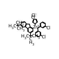 CC(C)(C)c1ccc2c(c1)-c1cc(C(C)(C)C)c[c]([Zr+2](=[C](c3cccc(Cl)c3)c3cccc(Cl)c3)[CH]3C=CC=C3)c1C2.[Cl-].[Cl-]